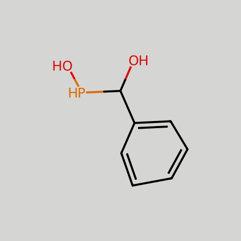 OPC(O)c1ccccc1